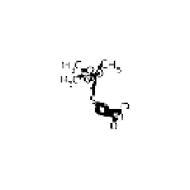 CCO[Si](CCCSC1CC2CC1C1C(=O)OC(=O)C21)(OCC)OCC